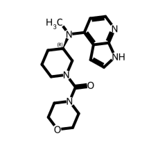 CN(c1ccnc2[nH]ccc12)[C@@H]1CCCN(C(=O)N2CCOCC2)C1